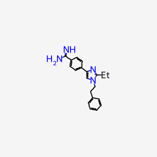 CCc1nc(-c2ccc(C(=N)N)cc2)cn1CCc1ccccc1